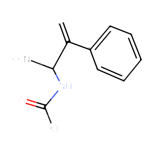 C=C(c1ccccc1)C(NC(=O)C(F)(F)F)[N+](=O)[O-]